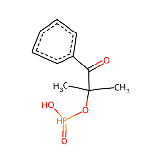 CC(C)(O[PH](=O)O)C(=O)c1ccccc1